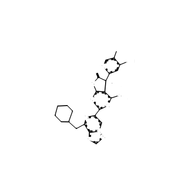 C[C@@]1(c2cc(O)c(Cl)cn2)C(=O)Nc2nc(-c3cn4ncnc4c(CC4CCCCC4)n3)nc(N)c21